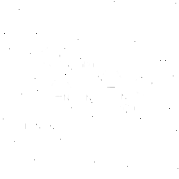 CCCCn1c2ccccc2c2ccnc(CN(CCCCCN)Cc3nccc4c5ccccc5n(CCCC)c34)c21